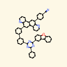 N#Cc1ccc(-c2cc3c4cccnc4c(-c4cccc(-c5cccc(-c6nc(-c7ccccc7)nc(-c7ccc8oc9ccccc9c8c7)n6)c5)c4)cc3c3cccnc23)cc1